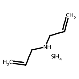 C=CCNCC=C.[SiH4]